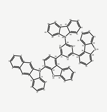 c1ccc2cc3c(cc2c1)c1ccccc1n3-c1ccc(-c2nc(-c3cccc4sc5ccccc5c34)nc(-n3c4ccccc4c4ccccc43)n2)c2c1oc1ccccc12